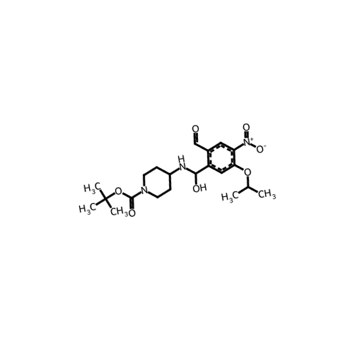 CC(C)Oc1cc(C(O)NC2CCN(C(=O)OC(C)(C)C)CC2)c(C=O)cc1[N+](=O)[O-]